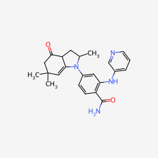 CC1CC2C(=O)CC(C)(C)C=C2N1c1ccc(C(N)=O)c(Nc2cccnc2)c1